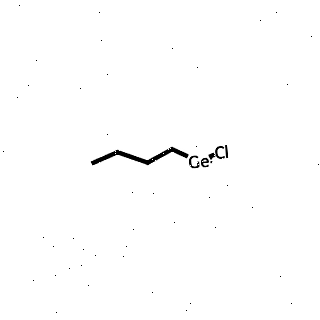 CCC[CH2][Ge][Cl]